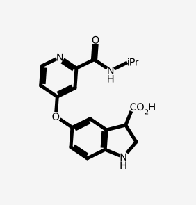 CC(C)NC(=O)c1cc(Oc2ccc3c(c2)C(C(=O)O)CN3)ccn1